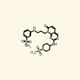 CS(=O)(=O)N1CCC(Nc2ncc3ccc(=O)n(CCCNc4cccc(S(N)(=O)=O)c4)c3n2)CC1